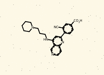 N#Cc1cc(C(=O)O)ccc1-c1cc(NCCCN2CCCCC2)c2cnccc2n1